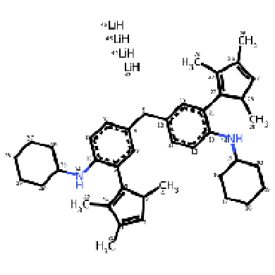 CC1=CC(C)C(c2cc(Cc3ccc(NC4CCCCC4)c(C4=C(C)C(C)=CC4C)c3)ccc2NC2CCCCC2)=C1C.[LiH].[LiH].[LiH].[LiH]